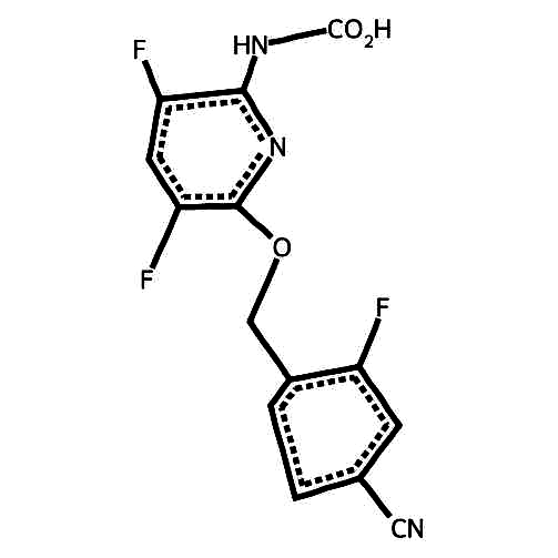 N#Cc1ccc(COc2nc(NC(=O)O)c(F)cc2F)c(F)c1